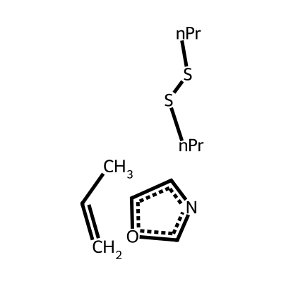 C=CC.CCCSSCCC.c1cocn1